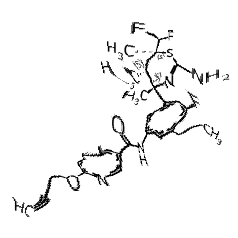 C#CCOc1cnc(C(=O)Nc2cc(C)c(F)c([C@@]3(C)N=C(N)S[C@](C)(C(F)F)[C@H]3C)c2)cn1